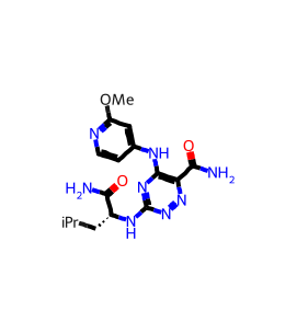 COc1cc(Nc2nc(N[C@H](CC(C)C)C(N)=O)nnc2C(N)=O)ccn1